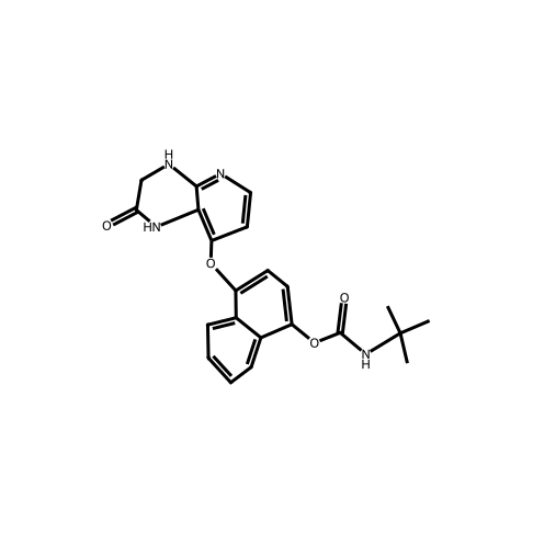 CC(C)(C)NC(=O)Oc1ccc(Oc2ccnc3c2NC(=O)CN3)c2ccccc12